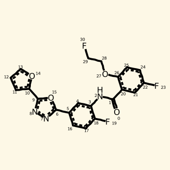 O=C(Nc1cc(-c2nnc(-c3ccco3)o2)ccc1F)c1cc(F)ccc1OCCF